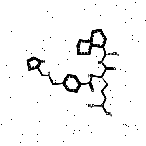 C[C@H](NC(=O)[C@H](CCCN(C)C)NC(=O)c1ccc(CNCc2ncc[nH]2)cc1)c1cccc2ccccc12